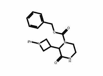 CC(C)N1CC(C2C(=O)NCCN2C(=O)OCc2ccccc2)C1